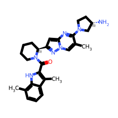 Cc1cn2nc([C@@H]3CCCCN3C(=O)c3[nH]c4c(C)cccc4c3C)cc2nc1N1CC[C@H](N)C1